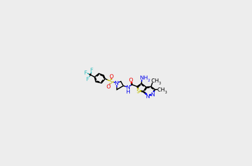 Cc1nnc2sc(C(=O)NC3CN(S(=O)(=O)c4ccc(C(F)(F)F)cc4)C3)c(N)c2c1C